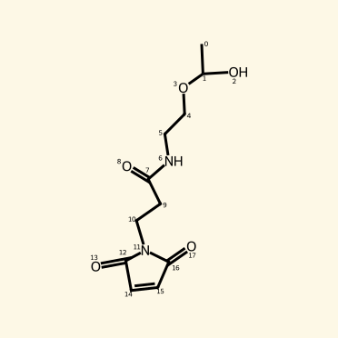 CC(O)OCCNC(=O)CCN1C(=O)C=CC1=O